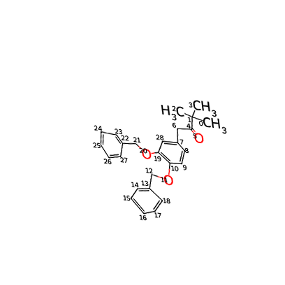 CC(C)(C)C(=O)Cc1ccc(OCc2ccccc2)c(OCc2ccccc2)c1